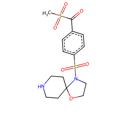 CS(=O)(=O)C(=O)c1ccc(S(=O)(=O)N2CCOC23CCNCC3)cc1